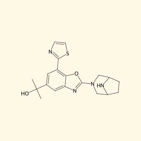 CC(C)(O)c1cc(-c2nccs2)c2oc(N3CC4CCC(C3)N4)nc2c1